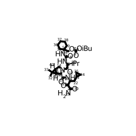 CC(C)COC(=O)OCC1(NC(=O)N[C@H](C(=O)N2C[C@H]3[C@@H]([C@H]2C(=O)NC(CC2CC2)C(=O)C(N)=O)C3(C)C)C(C)C)CCCCC1